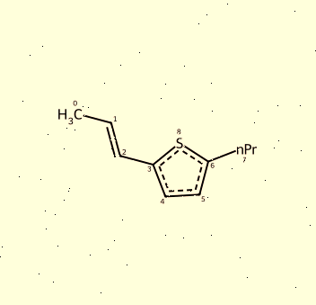 C/C=C/c1ccc(CCC)s1